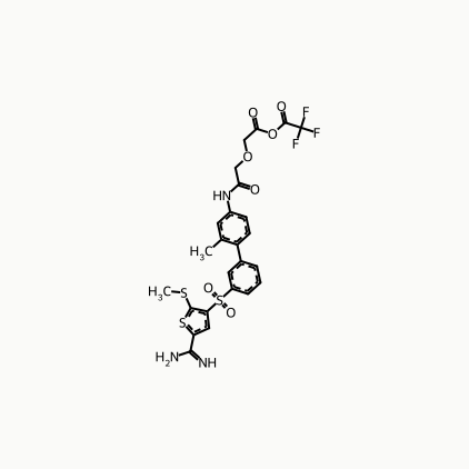 CSc1sc(C(=N)N)cc1S(=O)(=O)c1cccc(-c2ccc(NC(=O)COCC(=O)OC(=O)C(F)(F)F)cc2C)c1